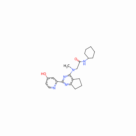 CN(CC(=O)NC1CCCCC1)c1nc(-c2cc(O)ccn2)nc2c1CCC2